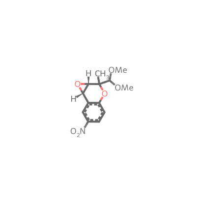 COC(OC)C1(C)Oc2ccc([N+](=O)[O-])cc2[C@@H]2O[C@@H]21